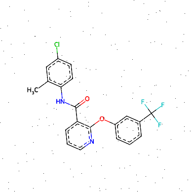 Cc1cc(Cl)ccc1NC(=O)c1cccnc1Oc1cccc(C(F)(F)F)c1